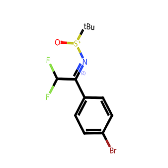 CC(C)(C)[S+]([O-])/N=C(/c1ccc(Br)cc1)C(F)F